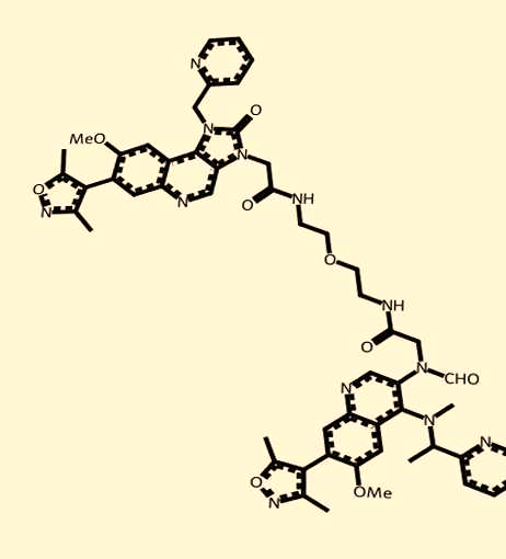 COc1cc2c(N(C)C(C)c3ccccn3)c(N(C=O)CC(=O)NCCOCCNC(=O)Cn3c(=O)n(Cc4ccccn4)c4c5cc(OC)c(-c6c(C)noc6C)cc5ncc43)cnc2cc1-c1c(C)noc1C